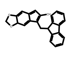 CC1=C(CC2c3ccccc3-c3ccccc32)C2=CC3OCOC3=CC2=C1